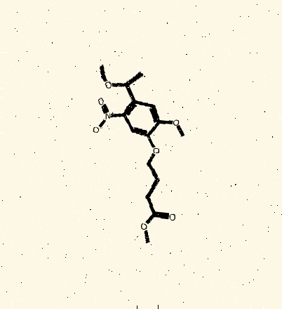 COC(=O)CCCOc1cc([N+](=O)[O-])c(C(C)OC)cc1OC